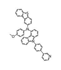 COc1ccc(N(c2ccc3sc4ccccc4c3c2)c2cccc3c2c2ccccc2n3-c2ccc(-c3cccnc3)cc2)cc1